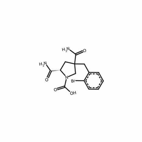 NC(=O)[C@@H]1CC(Cc2ccccc2Br)(C(N)=O)CN1C(=O)O